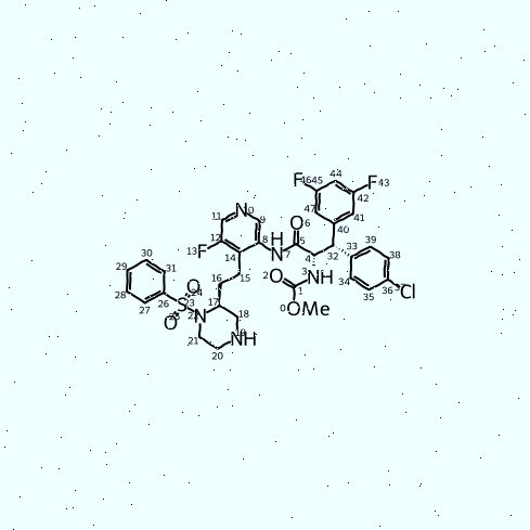 COC(=O)N[C@H](C(=O)Nc1cncc(F)c1CC[C@H]1CNCCN1S(=O)(=O)c1ccccc1)[C@@H](c1ccc(Cl)cc1)c1cc(F)cc(F)c1